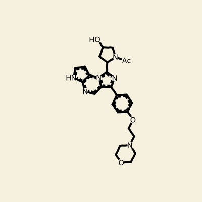 CC(=O)N1CC(O)CC1c1nc(-c2ccc(OCCN3CCOCC3)cc2)c2cnc3[nH]ccc3n12